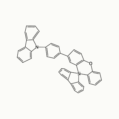 c1ccc2c(c1)Oc1ccc(-c3ccc(-n4c5ccccc5c5ccccc54)cc3)cc1[Si]21c2ccccc2-c2ccccc21